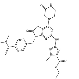 CCOC(=O)c1sc(Nc2nc(N3CCNC(=O)C3)c3c(n2)N(Cc2ccc(C(=O)N(C)C)cc2)C(=O)C3)nc1C